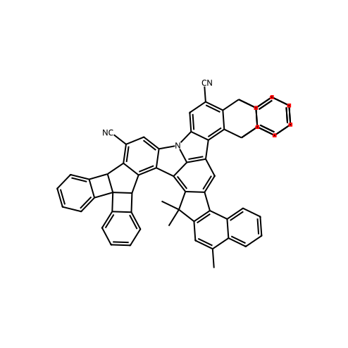 Cc1cc2c(c3ccccc13)-c1cc3c4c5c(c(C#N)cc4n4c6cc(C#N)c7c(c6c(c1C2(C)C)c34)C1c2ccccc2C12c1ccccc1C72)C1c2ccccc2C5c2ccccc21